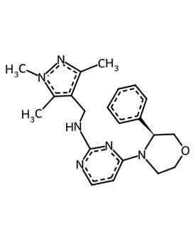 Cc1nn(C)c(C)c1CNc1nccc(N2CCOC[C@@H]2c2ccccc2)n1